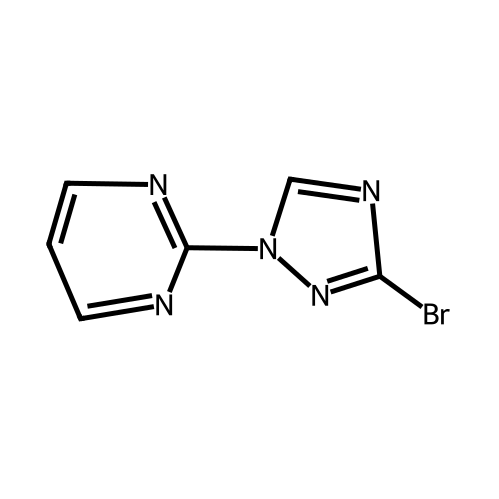 Brc1ncn(-c2ncccn2)n1